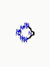 C1=Cc2cc3nnc(nc4nc(nc5nnc(cc1n2)[nH]5)N=N4)[nH]3